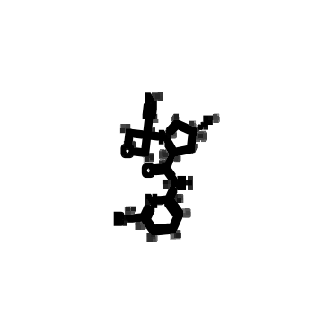 N#CC1(N2C[C@H](F)C[C@H]2C(=O)Nc2cccc(Br)n2)COC1